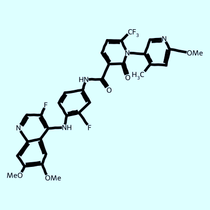 COc1cc(C)c(-n2c(C(F)(F)F)ccc(C(=O)Nc3ccc(Nc4c(F)cnc5cc(OC)c(OC)cc45)c(F)c3)c2=O)cn1